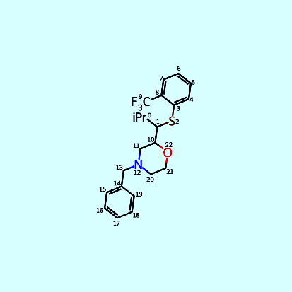 CC(C)C(Sc1ccccc1C(F)(F)F)C1CN(Cc2ccccc2)CCO1